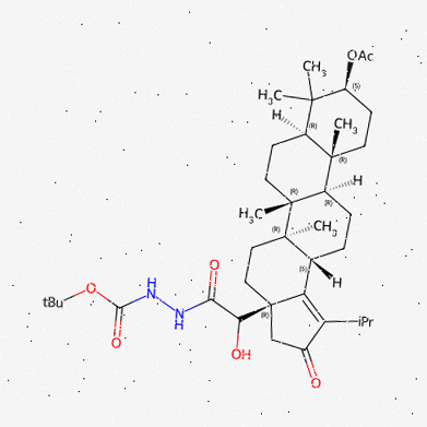 CC(=O)O[C@H]1CC[C@]2(C)[C@H]3CC[C@@H]4C5=C(C(C)C)C(=O)C[C@]5(C(O)C(=O)NNC(=O)OC(C)(C)C)CC[C@@]4(C)[C@]3(C)CC[C@H]2C1(C)C